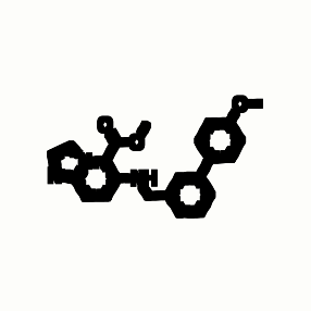 COC(=O)c1c(NCc2cccc(-c3ccc(OC)cc3)c2)ccc2nccn12